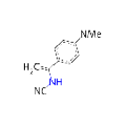 C=C(NC#N)c1ccc(NC)cc1